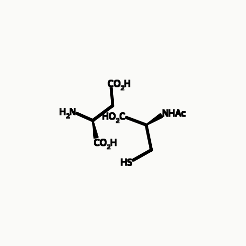 CC(=O)N[C@@H](CS)C(=O)O.N[C@@H](CC(=O)O)C(=O)O